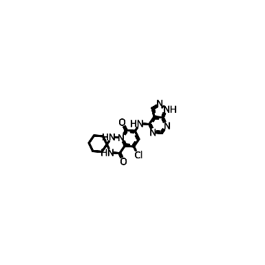 O=C1NC2(CCCCC2)Nn2c1c(Cl)cc(Nc1ncnc3[nH]ncc13)c2=O